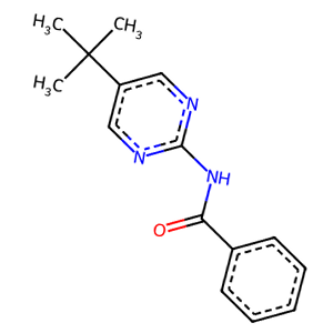 CC(C)(C)c1cnc(NC(=O)c2ccccc2)nc1